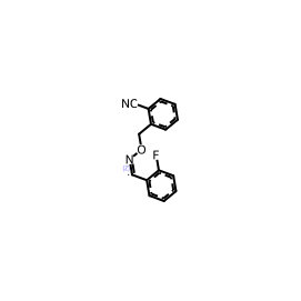 N#Cc1ccccc1CO/N=[C]\c1ccccc1F